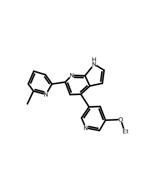 CCOc1cncc(-c2cc(-c3cccc(C)n3)nc3[nH]ccc23)c1